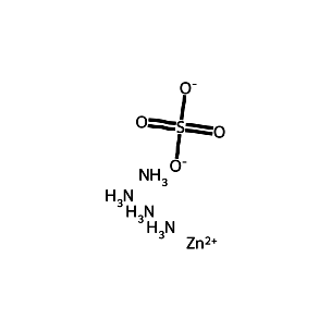 N.N.N.N.O=S(=O)([O-])[O-].[Zn+2]